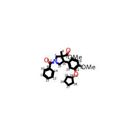 COC(=O)C1(C)CN(C(=O)c2ccccc2)CC1c1ccc(OC)c(OC2CCCC2)c1